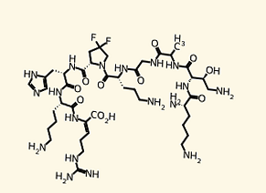 CC(NC(=O)[C@@H](NC(=O)[C@@H](N)CCCCN)[C@@H](O)CN)C(=O)NCC(=O)N[C@H](CCCN)C(=O)N1CC(F)(F)C[C@H]1C(=O)N[C@@H](Cc1cnc[nH]1)C(=O)N[C@@H](CCCCN)C(=O)N/C(=C\CCNC(=N)N)C(=O)O